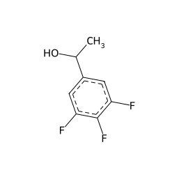 CC(O)c1cc(F)c(F)c(F)c1